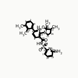 Cc1cccc(-c2ccc(C(=O)NS(=O)(=O)c3cccc(N)n3)c(N3CCC(C)C3(C)C)n2)c1C